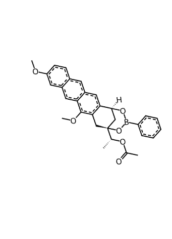 COc1ccc2cc3cc4c(c(OC)c3cc2c1)C[C@@]1([C@@H](C)OC(C)=O)C[C@@H]4OB(c2ccccc2)O1